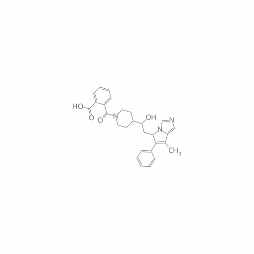 CC1=C(c2ccccc2)C(CC(O)C2CCN(C(=O)c3ccccc3C(=O)O)CC2)n2cncc21